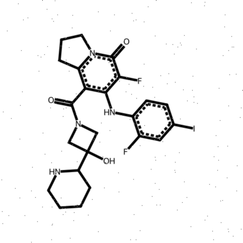 O=C(c1c(Nc2ccc(I)cc2F)c(F)c(=O)n2c1CCC2)N1CC(O)(C2CCCCN2)C1